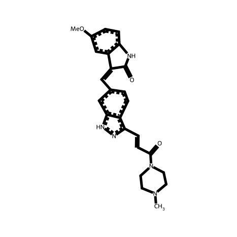 COc1ccc2c(c1)C(=Cc1ccc3c(C=CC(=O)N4CCN(C)CC4)n[nH]c3c1)C(=O)N2